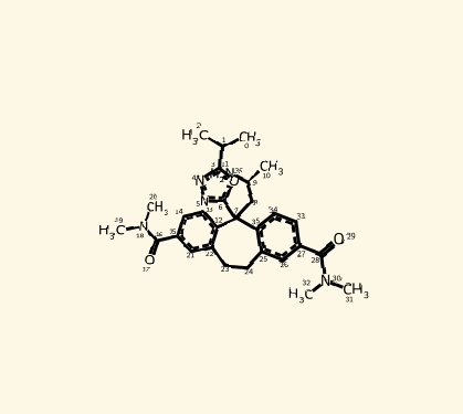 CC(C)c1nnc(C2(C[C@H](C)N)c3ccc(C(=O)N(C)C)cc3CCc3cc(C(=O)N(C)C)ccc32)o1